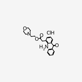 Cl.Nc1c(CC(=O)OCCN2CCOCC2)cccc1C(=O)c1ccccc1